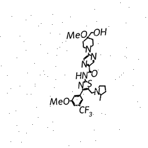 COc1cc(-c2nc(NC(=O)c3cnc(N4CCC(CO)(OC)CC4)cn3)sc2CN2CCCC2C)cc(C(F)(F)F)c1